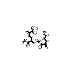 C=C(CC=C(C)C(=O)O)C(=O)OC.C=C(CCC=S)C(=O)OC